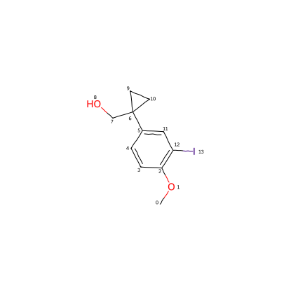 COc1ccc(C2(CO)CC2)cc1I